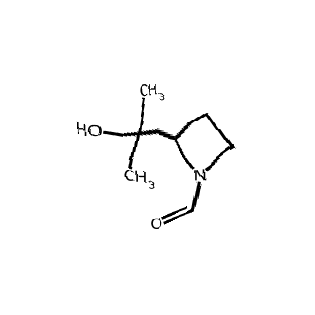 CC(C)(O)C1CCN1C=O